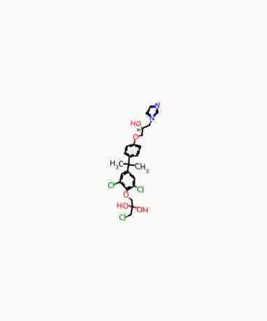 CC(C)(c1ccc(OC[C@H](O)Cn2ccnc2)cc1)c1cc(Cl)c(OCC(O)(O)CCl)c(Cl)c1